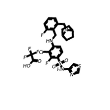 O=C(O)C(F)(F)F.O=S(=O)(Nc1cscn1)c1ccc(NCc2c(F)cccc2CN2C3CCC2CC3)c(Cl)c1F